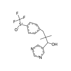 CC(C)(Cc1ccc([S+]([O-])C(F)(F)F)cc1)C(O)c1cncnc1